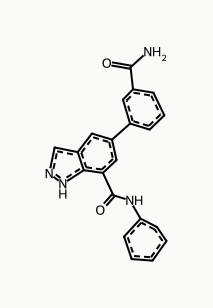 NC(=O)c1cccc(-c2cc(C(=O)Nc3ccccc3)c3[nH]ncc3c2)c1